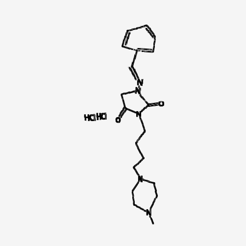 CN1CCN(CCCCN2C(=O)CN(/N=C/c3ccccc3)C2=O)CC1.Cl.Cl